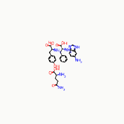 NC(=O)CCC(N)C(=O)O.NC(Cc1ccc(O)cc1)C(=O)O.NC(Cc1ccccc1)C(=O)O.Nc1ccc2nc[nH]c2c1